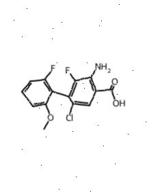 COc1cccc(F)c1-c1c(Cl)cc(C(=O)O)c(N)c1F